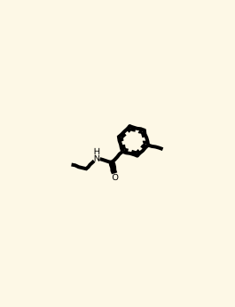 CCNC(=O)c1cccc(C)c1